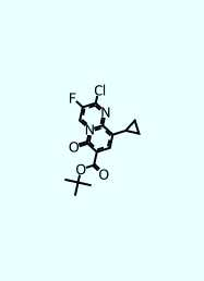 CC(C)(C)OC(=O)c1cc(C2CC2)c2nc(Cl)c(F)cn2c1=O